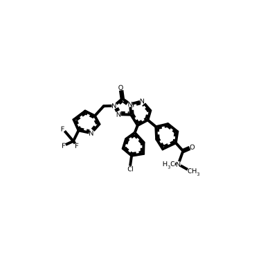 CN(C)C(=O)c1ccc(-c2cnn3c(=O)n(Cc4ccc(C(F)(F)F)nc4)nc3c2-c2ccc(Cl)cc2)cc1